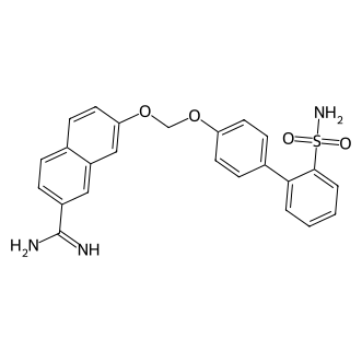 N=C(N)c1ccc2ccc(OCOc3ccc(-c4ccccc4S(N)(=O)=O)cc3)cc2c1